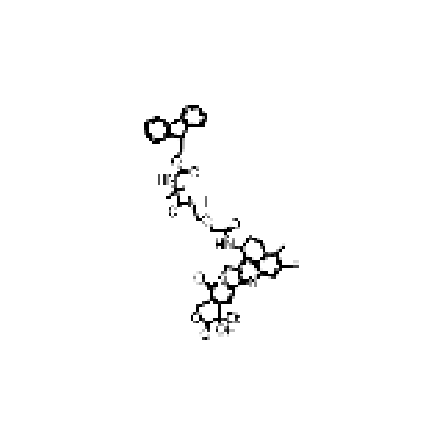 CC[C@@]1(O)C(=O)OCc2c1cc1n(c2=O)Cc2c-1nc1cc(F)c(C)c3c1c2[C@@H](NC(=O)COCNC(=O)C(C)(C)NC(=O)OCC1c2ccccc2-c2ccccc21)CC3